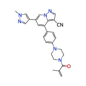 C=C(C)C(=O)N1CCN(c2ccc(-c3cc(-c4cnn(C)c4)cn4ncc(C#N)c34)cc2)CC1